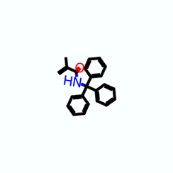 C=C(C)C(=O)NC(c1ccccc1)(c1ccccc1)c1ccccc1